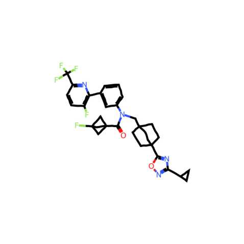 O=C(N(CC12CCC(c3nc(C4CC4)no3)(CC1)CC2)c1cccc(-c2nc(C(F)(F)F)ccc2F)c1)C12CC(F)(C1)C2